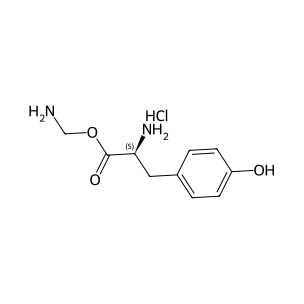 Cl.NCOC(=O)[C@@H](N)Cc1ccc(O)cc1